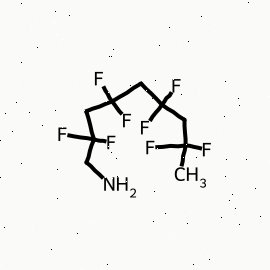 CC(F)(F)CC(F)(F)CC(F)(F)CC(F)(F)CN